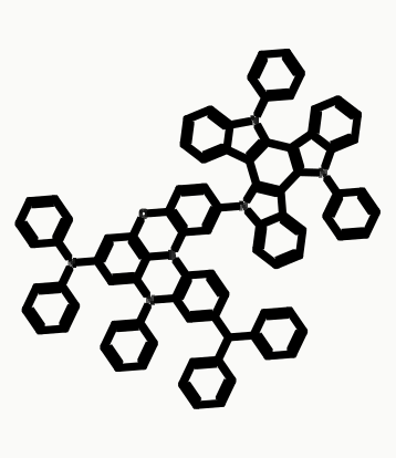 c1ccc(C(c2ccccc2)c2ccc3c(c2)N(c2ccccc2)c2cc(N(c4ccccc4)c4ccccc4)cc4c2B3c2cc(-n3c5ccccc5c5c6c(c7ccccc7n6-c6ccccc6)c6c(c7ccccc7n6-c6ccccc6)c53)ccc2O4)cc1